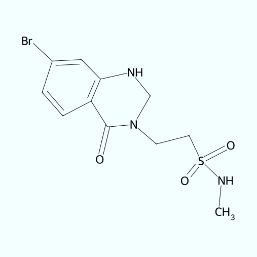 CNS(=O)(=O)CCN1CNc2cc(Br)ccc2C1=O